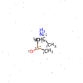 CC(=O)O.C[S+](C)[O-].N